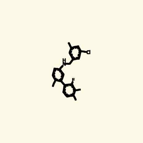 Cc1cc(Cl)cc(CNc2ccc(C)c(-c3ccc(C)c(C)c3F)c2)c1